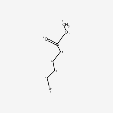 COC(=O)CCCC[S]